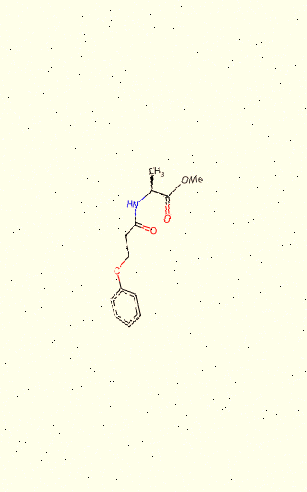 COC(=O)[C@H](C)NC(=O)CCOc1ccccc1